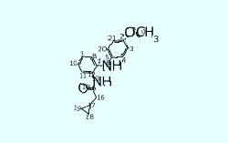 COc1ccc(Nc2ccccc2NC(=O)CC2CC2)cc1